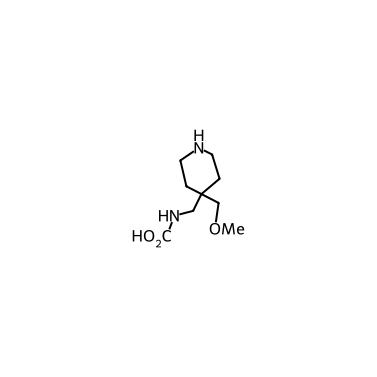 COCC1(CNC(=O)O)CCNCC1